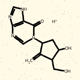 C=C1C(CO)C(O)CC1n1cnc2nc[nH]c2c1=O.[H+]